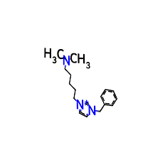 CN(C)CCCCC[n+]1ccn(Cc2ccccc2)c1